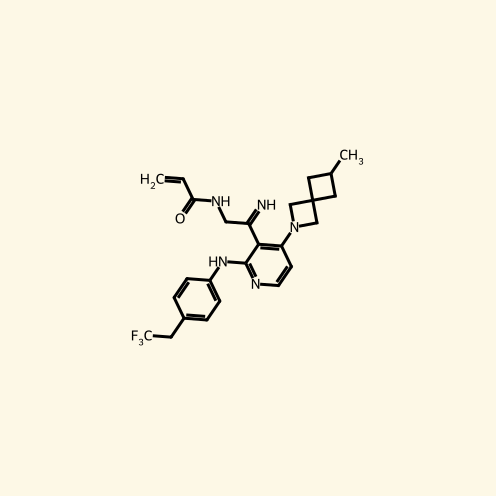 C=CC(=O)NCC(=N)c1c(N2CC3(CC(C)C3)C2)ccnc1Nc1ccc(CC(F)(F)F)cc1